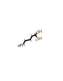 CCCCCC[C](S)S